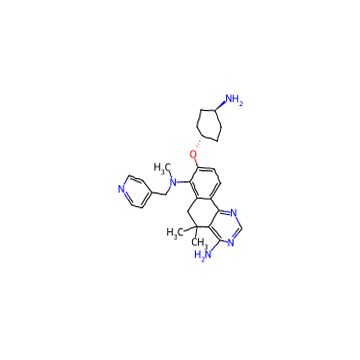 CN(Cc1ccncc1)c1c(O[C@H]2CC[C@H](N)CC2)ccc2c1CC(C)(C)c1c(N)ncnc1-2